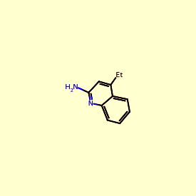 CCc1cc(N)nc2ccccc12